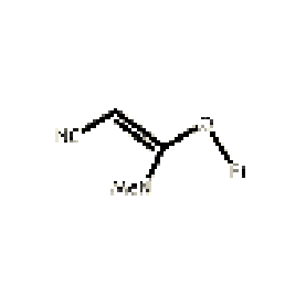 CCO/C(=C/C#N)NC